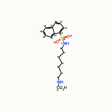 O=C(O)NCCCCCCCNS(=O)(=O)c1cccc2ccccc12